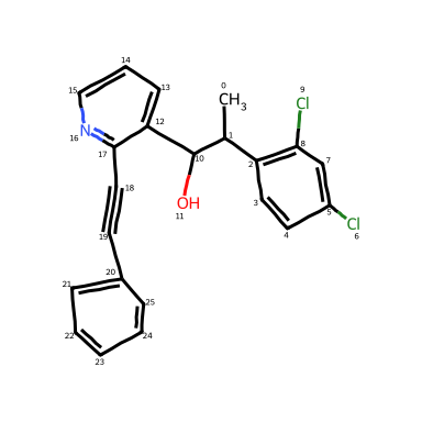 CC(c1ccc(Cl)cc1Cl)C(O)c1cccnc1C#Cc1ccccc1